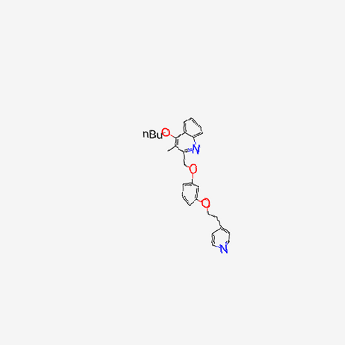 CCCCOc1c(C)c(COc2cccc(OCCc3ccncc3)c2)nc2ccccc12